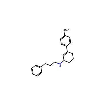 COc1ccc(C2=CC(NCCCc3ccccc3)CCC2)cc1